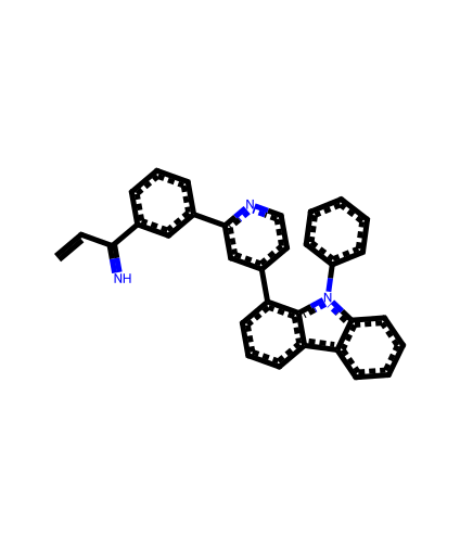 C=CC(=N)c1cccc(-c2cc(-c3cccc4c5ccccc5n(-c5ccccc5)c34)ccn2)c1